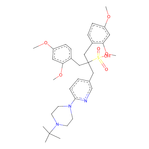 COc1ccc(CC(Cc2ccc(N3CCN(C(C)(C)C)CC3)nc2)(Cc2ccc(OC)cc2OC)S(=O)(=O)O)c(OC)c1